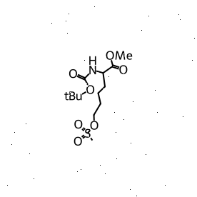 COC(=O)C(CCCCOS(C)(=O)=O)NC(=O)OC(C)(C)C